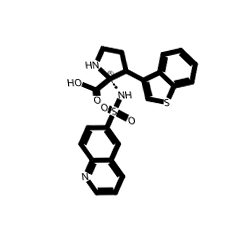 O=C(O)[C@@]1(NS(=O)(=O)c2ccc3ncccc3c2)NCCC1c1csc2ccccc12